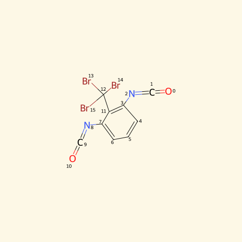 O=C=Nc1cccc(N=C=O)c1C(Br)(Br)Br